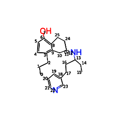 CCCc1ccc(O)c2c1C[C@@H](NC(CC)CCc1cccnc1)CC2